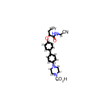 CC(C)CC(Oc1ccc(-c2ccc(N3CCN(C(=O)O)CC3)cc2)cc1)C(=O)NCC#N